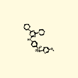 COc1cnc(NS(=O)(=O)c2ccc(Nc3nc(N4CCCCC4)nc(N4CCCCC4)n3)cc2)nc1